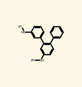 CC(C)Nc1cccc(-c2cc(NC(C)C)ccc2-c2ccccc2)c1